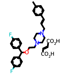 Cc1ccc(C=CCN2CCN(CCOC(c3ccc(F)cc3)c3ccc(F)cc3)CC2)cc1.O=C(O)C=CC(=O)O